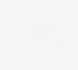 C=CC(C(=O)O)(c1ccccc1)C1CCCC1